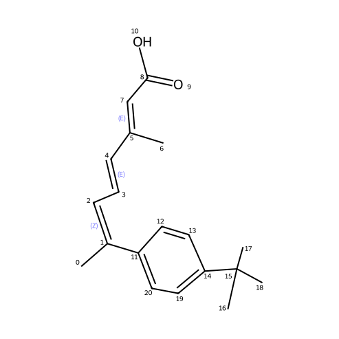 C/C(=C/C=C/C(C)=C/C(=O)O)c1ccc(C(C)(C)C)cc1